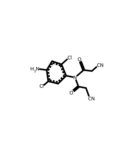 N#CCC(=O)N(C(=O)CC#N)c1cc(Cl)c(N)cc1Cl